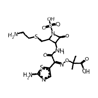 CC(C)(O/N=C(\C(=O)NC1C(=O)N(S(=O)(=O)O)C1CSCCN)c1cnc(N)s1)C(=O)O